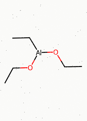 CC[O][Al]([CH2]C)[O]CC